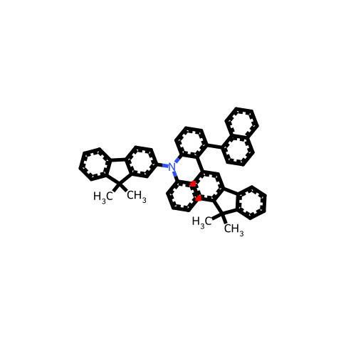 CC1(C)c2ccccc2-c2cc(-c3c(-c4cccc5ccccc45)cccc3N(c3ccccc3)c3ccc4c(c3)C(C)(C)c3ccccc3-4)ccc21